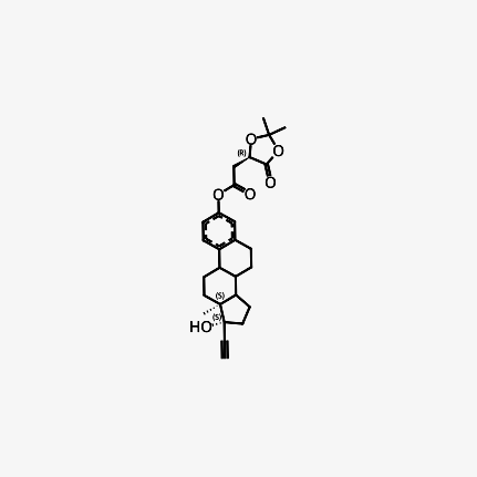 C#C[C@]1(O)CCC2C3CCc4cc(OC(=O)C[C@H]5OC(C)(C)OC5=O)ccc4C3CC[C@@]21C